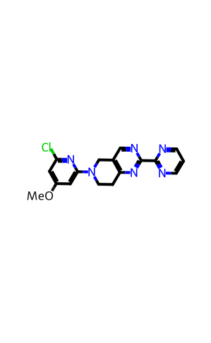 COc1cc(Cl)nc(N2CCc3nc(-c4ncccn4)ncc3C2)c1